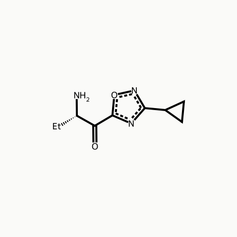 CC[C@H](N)C(=O)c1nc(C2CC2)no1